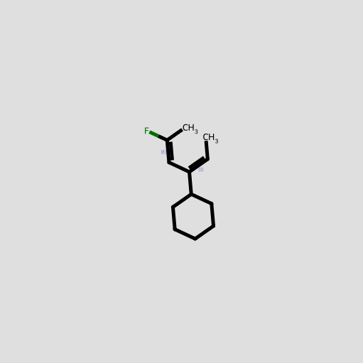 C/C=C(\C=C(/C)F)C1CCCCC1